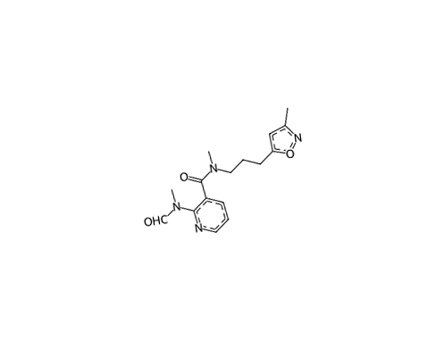 Cc1cc(CCCN(C)C(=O)c2cccnc2N(C)C=O)on1